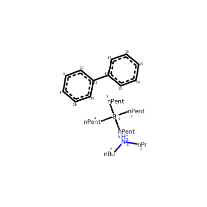 CCCCC[B-](CCCCC)(CCCCC)CCCCC.CCCC[NH2+]CCC.c1ccc(-c2ccccc2)cc1